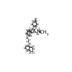 CN1CCC(O)(C(CN2CCN(CCCCc3cccc4ccccc34)CC2)c2ccc(F)cc2)CC1